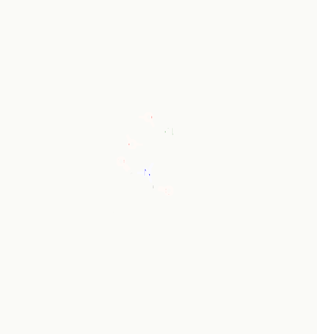 O=C1c2ccccc2C(=O)N1C(C1=COC=CO1)C1=C(Cl)C=CCC1